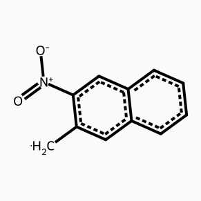 [CH2]c1cc2ccccc2cc1[N+](=O)[O-]